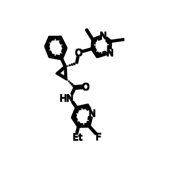 CCc1cc(NC(=O)[C@@H]2C[C@@]2(COc2cnc(C)nc2C)c2ccccc2)cnc1F